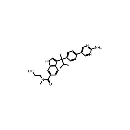 CC(C)C(C)(c1ccc(-c2cnc(N)nc2)cc1)c1c[nH]c2cc(C(=O)N(C)CCO)ccc12